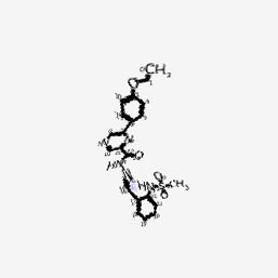 CCOc1ccc(-c2cncc(C(=O)N/N=C/c3ccccc3NS(C)(=O)=O)n2)cc1